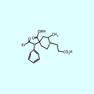 CCC(=O)N(c1ccccc1)C1(C(=O)OC)CCN(CCC(=O)O)C(C)C1